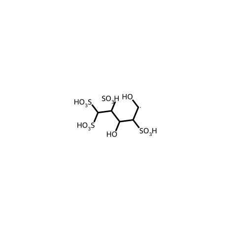 O=S(=O)(O)C([CH]O)C(O)C(C(S(=O)(=O)O)S(=O)(=O)O)S(=O)(=O)O